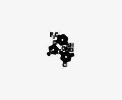 Cc1cc(Cl)cc(Cl)c1S(=O)(=O)Nc1ccc(C(F)(F)F)c(OC2CCN(C)C2)c1